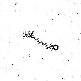 CCO[Si](C)(CCCSSSSSSc1nc2ccccc2s1)OCC